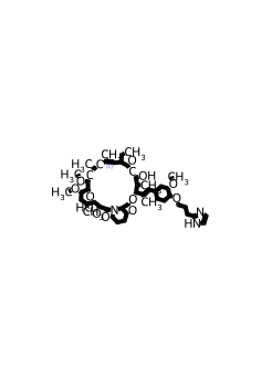 CCC1/C=C(\C)CC(C)CC(OC)C2OC(O)(C(=O)C(=O)N3CCCCC3C(=O)OC(C(C)=CC3CCC(OCCCc4ncc[nH]4)C(OC)C3)C(C)C(O)CC1=O)C(C)CC2OC